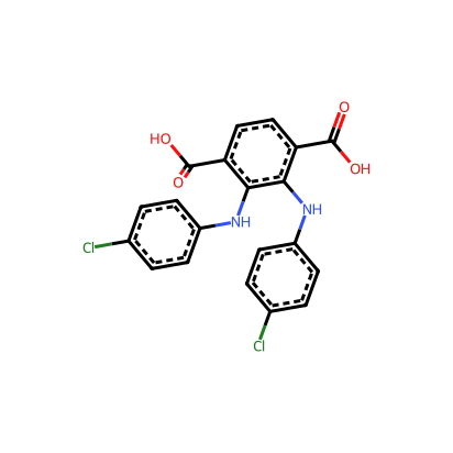 O=C(O)c1ccc(C(=O)O)c(Nc2ccc(Cl)cc2)c1Nc1ccc(Cl)cc1